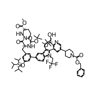 COC(=O)[C@@H]1CCCN(C(=O)[C@H](Cc2cc(O[Si](C(C)C)(C(C)C)C(C)C)cc(-c3ccc4c(c3)c(CC(C)(C)CO)c(-c3cc(C5CCN(C(=O)OCc6ccccc6)CC5)cnc3[C@H](C)OC)n4CC(F)(F)F)c2)NC(=O)OC(C)(C)C)N1